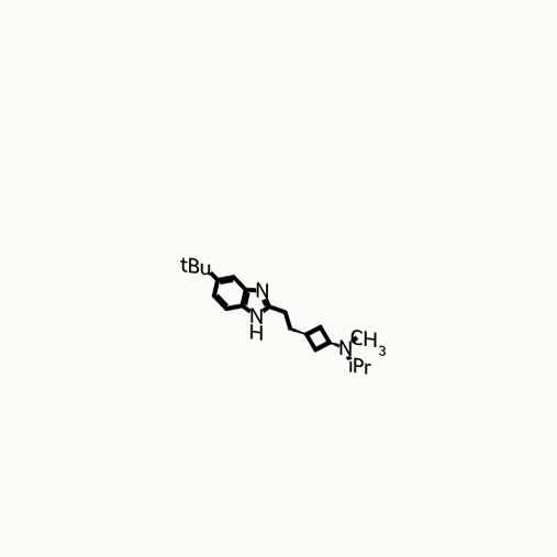 CC(C)N(C)[C@H]1C[C@@H](CCc2nc3cc(C(C)(C)C)ccc3[nH]2)C1